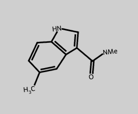 CNC(=O)c1c[nH]c2ccc(C)cc12